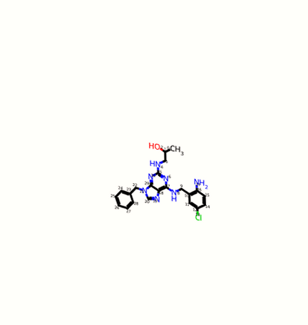 CC(O)CNc1nc(NCc2cc(Cl)ccc2N)c2ncn(Cc3ccccc3)c2n1